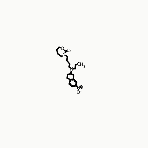 CCCN(CCCCN1CCCCOC1=O)C1CCc2ccc([N+](=O)[O-])cc2C1